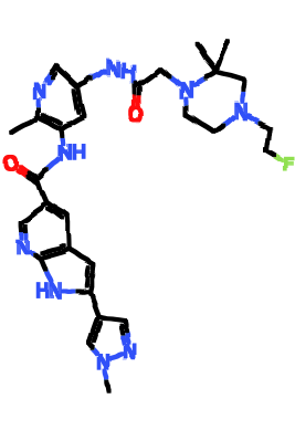 Cc1ncc(NC(=O)CN2CCN(CCF)CC2(C)C)cc1NC(=O)c1cnc2[nH]c(-c3cnn(C)c3)cc2c1